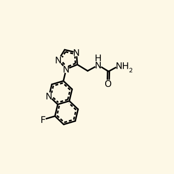 NC(=O)NCc1ncnn1-c1cnc2c(F)cccc2c1